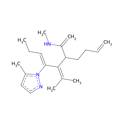 C=CCCC(C(=C)NC)C(=C(C)C)/C(=C/CC)n1nccc1C